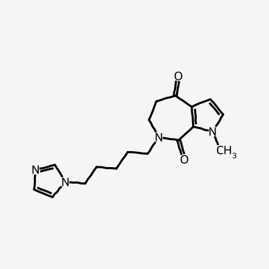 Cn1ccc2c1C(=O)N(CCCCCn1ccnc1)CCC2=O